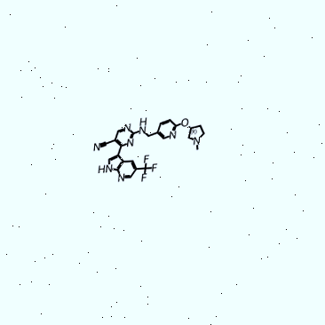 CN1CC[C@@H](Oc2ccc(CNc3ncc(C#N)c(-c4c[nH]c5ncc(C(F)(F)F)cc45)n3)cn2)C1